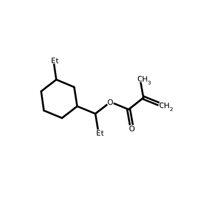 C=C(C)C(=O)OC(CC)C1CCCC(CC)C1